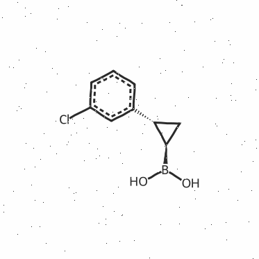 OB(O)[C@@H]1C[C@H]1c1cccc(Cl)c1